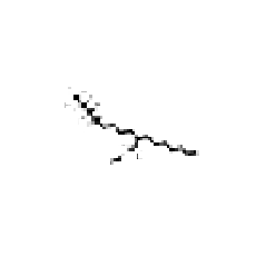 C=CCCCCCC(CCCCC(F)(F)C(F)(F)C(F)(F)C(F)(F)F)C(=O)OCC